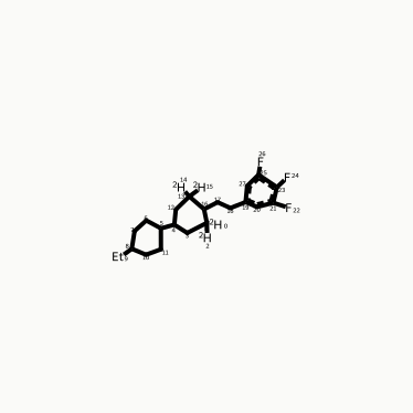 [2H]C1([2H])CC(C2CCC(CC)CC2)CC([2H])([2H])C1CCc1cc(F)c(F)c(F)c1